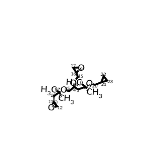 CC(C)(CC(COC(C)(C)C[C@H]1CO1)OCC1CO1)OCC1CC1